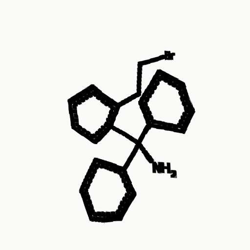 NC(c1ccccc1)(c1ccccc1)c1ccccc1CCBr